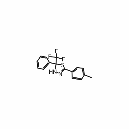 Cc1ccc(C2=NNC(c3ccccc3)(C(F)(F)F)S2)cc1